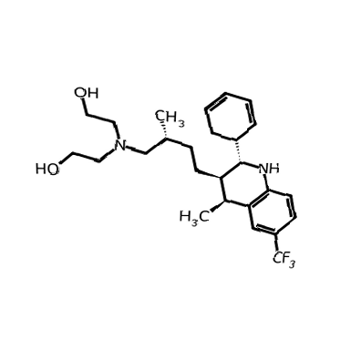 C[C@H](CC[C@@H]1[C@H](C)c2cc(C(F)(F)F)ccc2N[C@H]1C1C=CC=CC1)CN(CCO)CCO